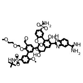 COCCOCOc1c(C=O)cc(C(C)C(=O)Oc2ccc(S(N)(=O)=O)cc2-c2cc(CC(=O)O)cc(-c3nc4cc(C(=N)N)ccc4[nH]3)c2O)cc1-c1cc(S(=O)(=O)NC(C)(C)C)ccc1OC